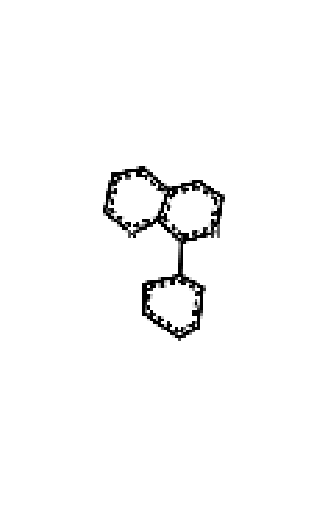 c1ccc(-c2nccc3cccnc23)cc1